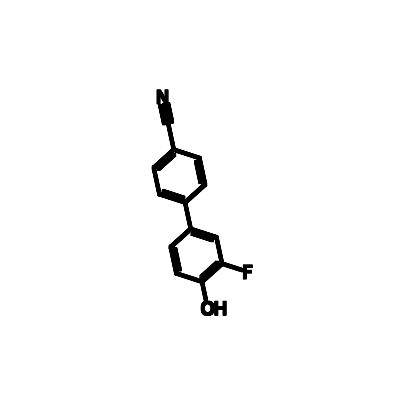 N#Cc1ccc(-c2ccc(O)c(F)c2)cc1